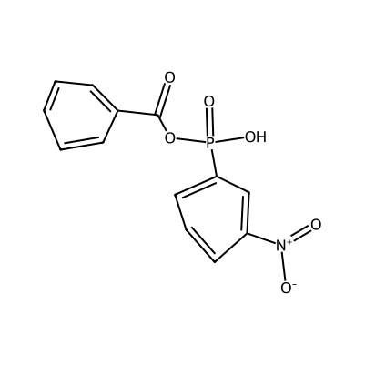 O=C(OP(=O)(O)c1cccc([N+](=O)[O-])c1)c1ccccc1